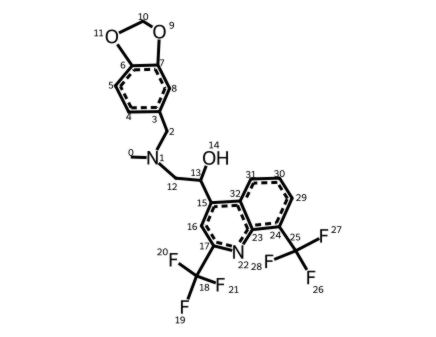 CN(Cc1ccc2c(c1)OCO2)CC(O)c1cc(C(F)(F)F)nc2c(C(F)(F)F)cccc12